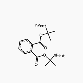 CCCCCC(C)(C)OC(=O)c1ccccc1C(=O)OC(C)(C)CCCCC